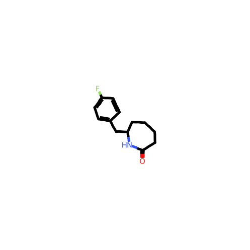 O=C1CCCCC(Cc2ccc(F)cc2)N1